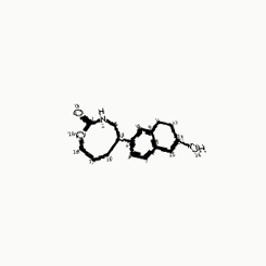 O=C1NC[C@@H](c2ccc3c(c2)CC[C@@H](O)C3)CCCO1